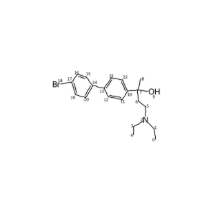 CCN(CC)CCC(C)(O)c1ccc(-c2ccc(Br)cc2)cc1